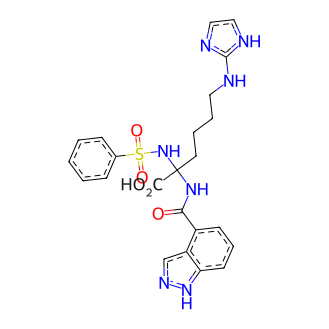 O=C(NC(CCCCNc1ncc[nH]1)(NS(=O)(=O)c1ccccc1)C(=O)O)c1cccc2[nH]ncc12